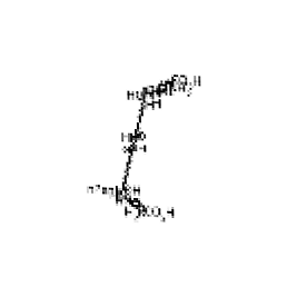 CCCCCC(NCNc1ccc(CC(N)C(=O)O)cc1)C(O)CCCCCCCCCCC(=O)NCCNC(=O)CCCCCCCCCCC(O)C(CCCCC)NCNc1ccc(CC(N)C(=O)O)cc1